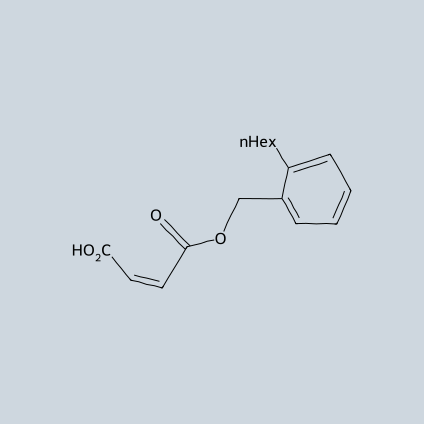 CCCCCCc1ccccc1COC(=O)/C=C\C(=O)O